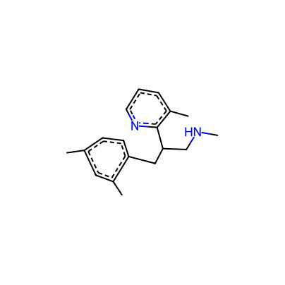 CNCC(Cc1ccc(C)cc1C)c1ncccc1C